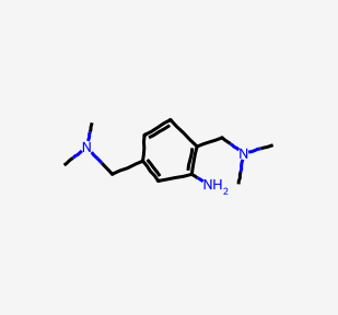 CN(C)Cc1ccc(CN(C)C)c(N)c1